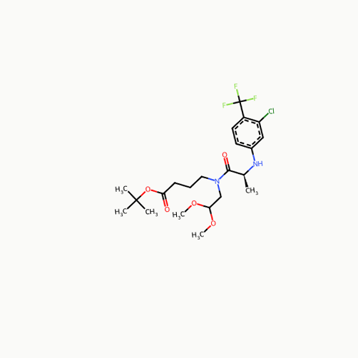 COC(CN(CCCC(=O)OC(C)(C)C)C(=O)[C@H](C)Nc1ccc(C(F)(F)F)c(Cl)c1)OC